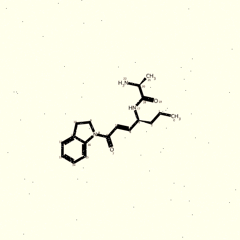 CCC[C@@H](C=CC(=O)N1CCc2ccccc21)NC(=O)[C@H](C)N